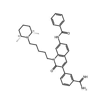 C[C@@H]1CCC[C@H](C)N1CCCCCn1c(=O)c(-c2cccc(C(=N)N)c2)cc2ccc(NC(=O)c3ccccc3)cc21